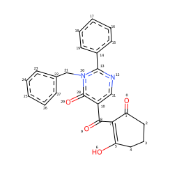 O=C1CCCC(O)=C1C(=O)c1cnc(-c2ccccc2)n(Cc2ccccc2)c1=O